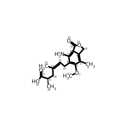 COc1c(C)c2c(c(N)c1CC=C(C)C[C@@H](C)C(=O)O)C(=O)OC2